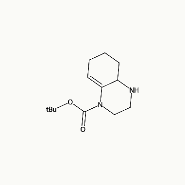 CC(C)(C)OC(=O)N1CCNC2CCCC=C21